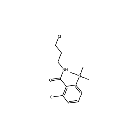 C[Si](C)(C)c1cccc(Cl)c1C(=O)NCCCCl